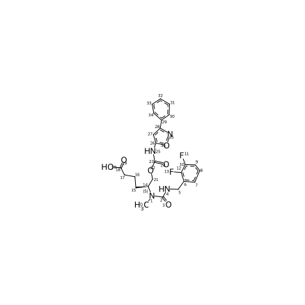 CN(C(=O)NCc1cccc(F)c1F)[C@@H](CCCC(=O)O)COC(=O)Nc1cc(-c2ccccc2)no1